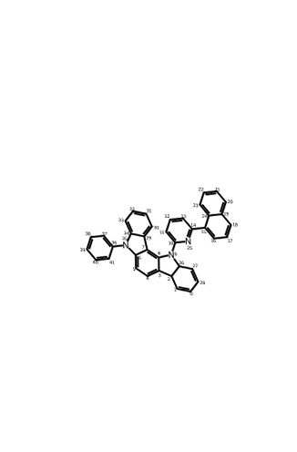 C1=CC2c3ccc4c(c3N(c3cccc(-c5cccc6ccccc56)n3)C2C=C1)c1ccccc1n4-c1ccccc1